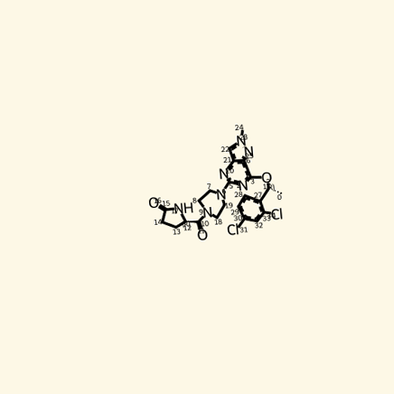 C[C@@H](Oc1nc(N2CCN(C(=O)[C@H]3CCC(=O)N3)CC2)nc2cn(C)nc12)c1ccc(Cl)cc1Cl